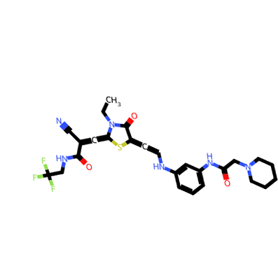 CCn1c(=C=C(C#N)C(=O)NCC(F)(F)F)sc(=C=CNc2cccc(NC(=O)CN3CCCCC3)c2)c1=O